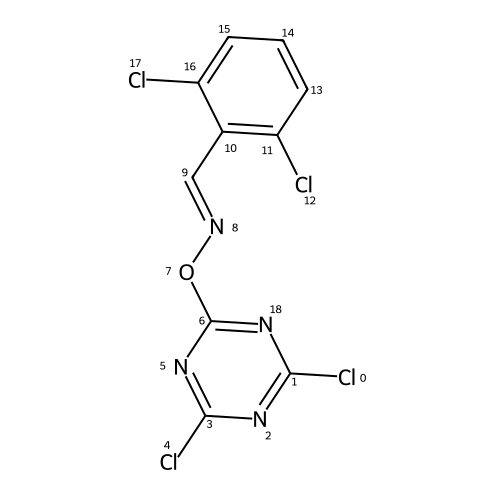 Clc1nc(Cl)nc(O/N=C/c2c(Cl)cccc2Cl)n1